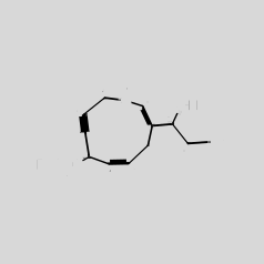 CCOC(=O)C1C#CCC/C=C(/C(O)CC(C)C)C/C=C\1